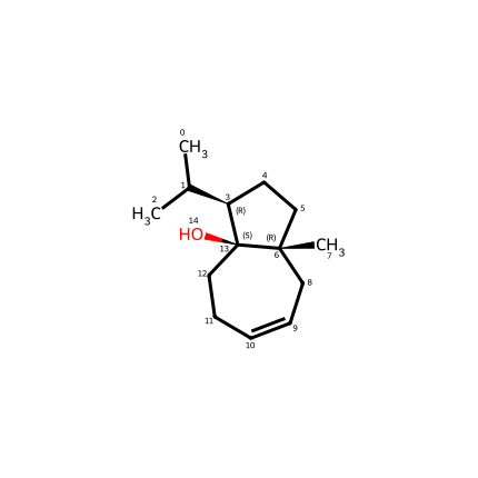 CC(C)[C@H]1CC[C@]2(C)CC=CCC[C@]12O